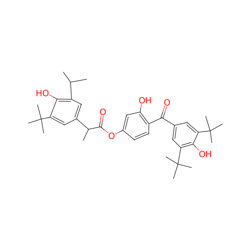 CC(C)c1cc(C(C)C(=O)Oc2ccc(C(=O)c3cc(C(C)(C)C)c(O)c(C(C)(C)C)c3)c(O)c2)cc(C(C)(C)C)c1O